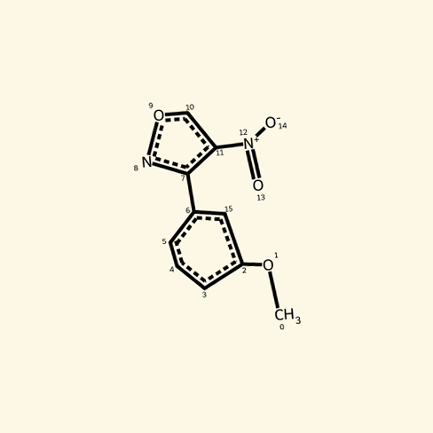 COc1cccc(-c2nocc2[N+](=O)[O-])c1